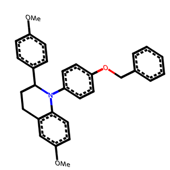 COc1ccc(C2CCc3cc(OC)ccc3N2c2ccc(OCc3ccccc3)cc2)cc1